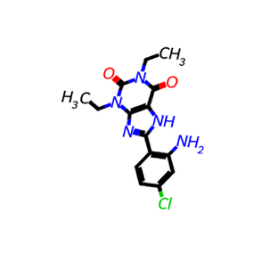 CCn1c(=O)c2[nH]c(-c3ccc(Cl)cc3N)nc2n(CC)c1=O